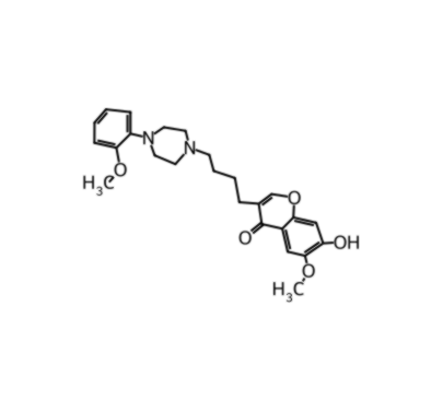 COc1cc2c(=O)c(CCCCN3CCN(c4ccccc4OC)CC3)coc2cc1O